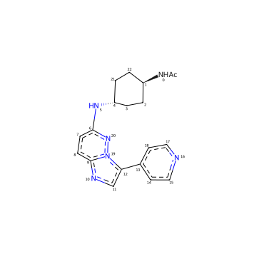 CC(=O)N[C@H]1CC[C@H](Nc2ccc3ncc(-c4ccncc4)n3n2)CC1